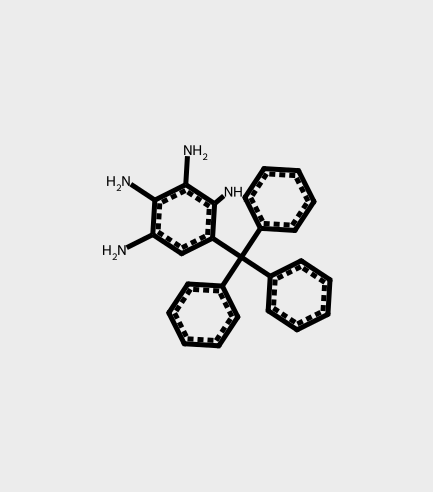 Nc1cc(C(c2ccccc2)(c2ccccc2)c2ccccc2)c(N)c(N)c1N